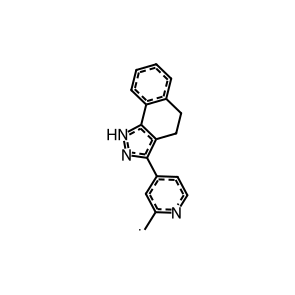 [CH2]c1cc(-c2n[nH]c3c2CCc2ccccc2-3)ccn1